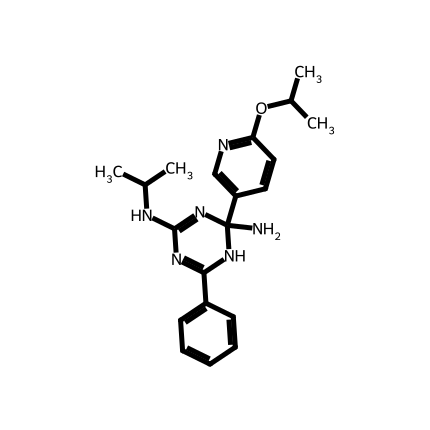 CC(C)NC1=NC(N)(c2ccc(OC(C)C)nc2)NC(c2ccccc2)=N1